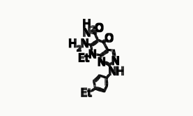 CCc1ccc(Nc2ncc3c(=O)c(C(N)=O)c(N)n(CC)c3n2)cc1